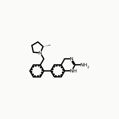 C[C@H]1CCCN1Cc1ccccc1-c1ccc2c(c1)[CH]N=C(N)N2